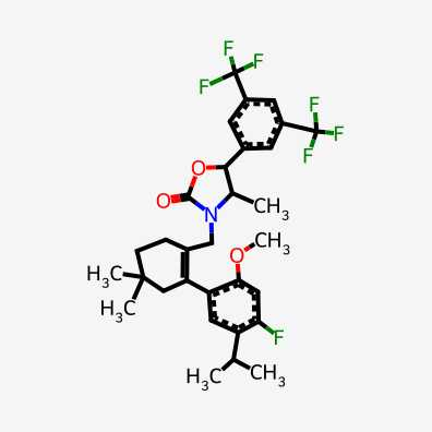 COc1cc(F)c(C(C)C)cc1C1=C(CN2C(=O)OC(c3cc(C(F)(F)F)cc(C(F)(F)F)c3)C2C)CCC(C)(C)C1